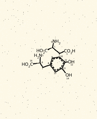 N[C@@H](CC(=O)O)C(=O)O.N[C@@H](Cc1ccc(O)c(O)c1)C(=O)O